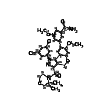 COc1cc2c(cc1-c1cc(C(N)=O)c[n+](OC)c1)-c1c(c(C(=O)N3CCOCC3(C)C)nn1-c1cc(Cl)cc(Cl)c1)CO2